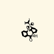 O=C1NC2C=CC=C(S(=O)(=O)C(I)I)C2=Nc2ccccc21